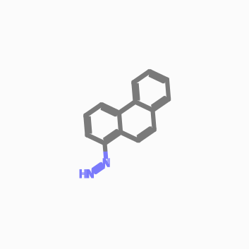 N=Nc1cccc2c1ccc1ccccc12